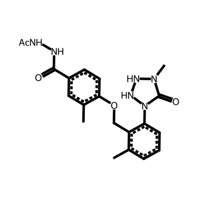 CC(=O)NNC(=O)c1ccc(OCc2c(C)cccc2N2NNN(C)C2=O)c(C)c1